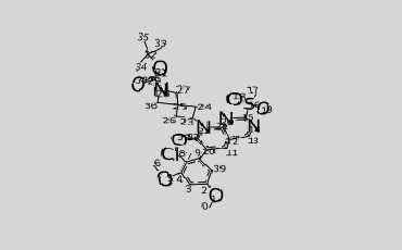 COc1cc(OC)c(Cl)c(-c2cc3cnc(S(C)(=O)=O)nc3n(C3CC4(C3)CN(C(=O)OC(C)(C)C)C4)c2=O)c1